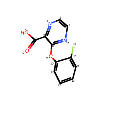 O=C(O)c1nccnc1Oc1ccccc1F